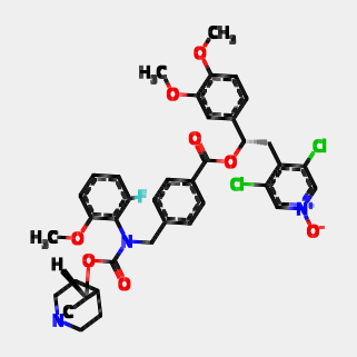 COc1ccc([C@H](Cc2c(Cl)c[n+]([O-])cc2Cl)OC(=O)c2ccc(CN(C(=O)O[C@H]3CN4CCC3CC4)c3c(F)cccc3OC)cc2)cc1OC